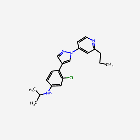 CCCc1cc(-n2cc(-c3ccc(NC(C)C)cc3Cl)cn2)ccn1